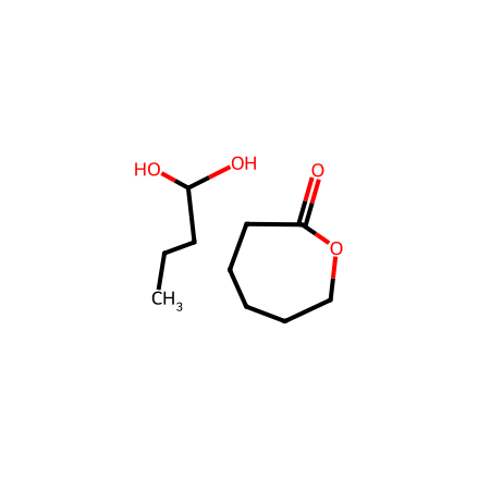 CCCC(O)O.O=C1CCCCCO1